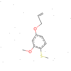 C=CCOc1ccc(SC)c(OC)c1